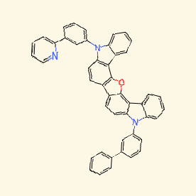 c1ccc(-c2cccc(-n3c4ccccc4c4c5oc6c(ccc7c6c6ccccc6n7-c6cccc(-c7ccccn7)c6)c5ccc43)c2)cc1